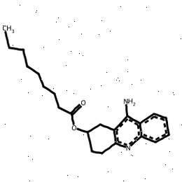 CCCCCCCCC(=O)OC1CCc2nc3ccccc3c(N)c2C1